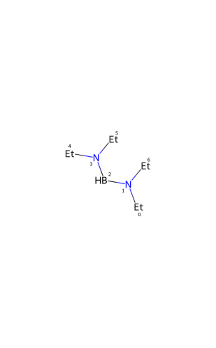 CCN(BN(CC)CC)CC